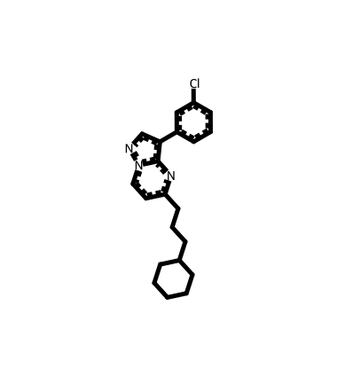 Clc1cccc(-c2cnn3ccc(CCCC4CCCCC4)nc23)c1